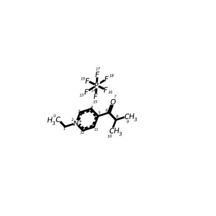 CC[n+]1ccc(C(=O)C(C)C)cc1.F[P-](F)(F)(F)(F)F